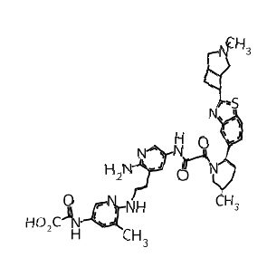 Cc1cc(NC(=O)C(=O)O)cnc1NCCc1cc(NC(=O)C(=O)N2C[C@@H](C)CC[C@@H]2c2ccc3sc(C4CC5CN(C)CC54)nc3c2)cnc1N